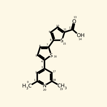 Cc1cc(-c2ccc(-c3ccc(C(=O)O)s3)s2)cc(C)n1